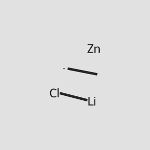 [CH2]C.[Li][Cl].[Zn]